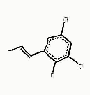 CC=Cc1cc(Cl)cc(Cl)c1F